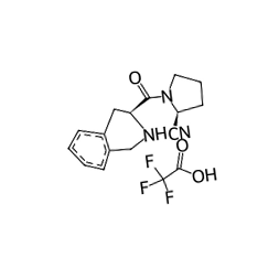 N#C[C@@H]1CCCN1C(=O)[C@@H]1Cc2ccccc2CN1.O=C(O)C(F)(F)F